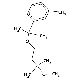 COC(C)(C)CCOC(C)(C)c1cccc(C)c1